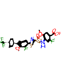 COc1cc(C(=O)O)c(F)cc1N[S+]([O-])c1csc(-c2ccc([C@H]3CC[C@@H](C(F)(F)F)CC3)c(OC)c2F)n1